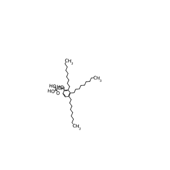 CCCCCCCCCc1ccc(O)c(CCCCCCCCC)c1CCCCCCCCC.O=P(O)(O)O